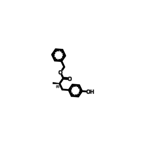 C[C@H](Cc1ccc(O)cc1)C(=O)OCc1ccccc1